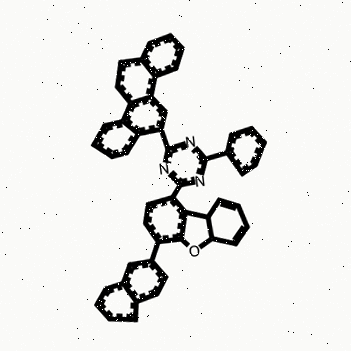 C1=CC2Oc3c(-c4ccc5ccccc5c4)ccc(-c4nc(-c5ccccc5)nc(-c5cc6c7ccccc7ccc6c6ccccc56)n4)c3C2C=C1